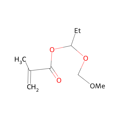 C=C(C)C(=O)OC(CC)OCOC